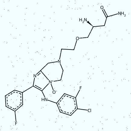 NC(=O)C[C@H](N)COCCN1CC[N+]2([O-])C(=NC(c3cccc(F)c3)=C2Nc2ccc(Cl)c(F)c2)C1